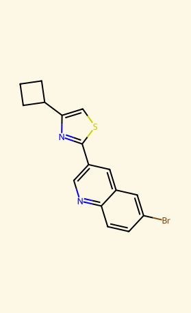 Brc1ccc2ncc(-c3nc(C4CCC4)cs3)cc2c1